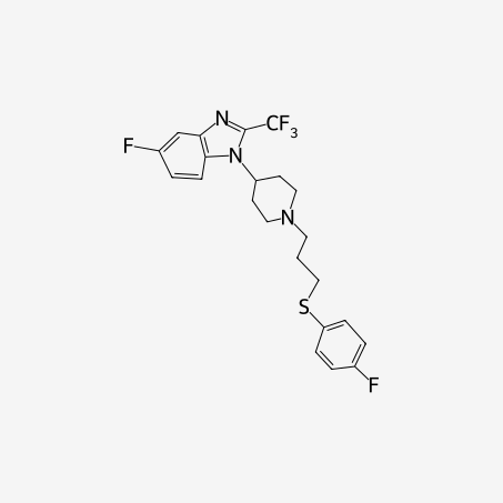 Fc1ccc(SCCCN2CCC(n3c(C(F)(F)F)nc4cc(F)ccc43)CC2)cc1